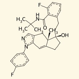 CC(C)(C)NC(=O)c1c(F)cccc1CC[C@]1(O)CCC2=Cc3c(cnn3-c3ccc(F)cc3)C[C@@]21C